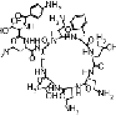 CC(C)C[C@@H]1NC(=O)[C@@H](Cc2ccccc2)NC(=O)[C@H](CCN)NC(=O)[C@@H](NC(=O)[C@H](CCN)NC(=O)[C@@H](NC(=O)c2ccc(N)cc2)C(C)O)CCNC(=O)C(C(C)O)NC(=O)[C@H](CCN)NC(=O)[C@H](CCN)NC1=O